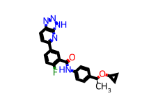 C[C@@H](OC1CC1)c1ccc(NC(=O)c2cc(-c3ccc4nn[nH]c4n3)ccc2F)cc1